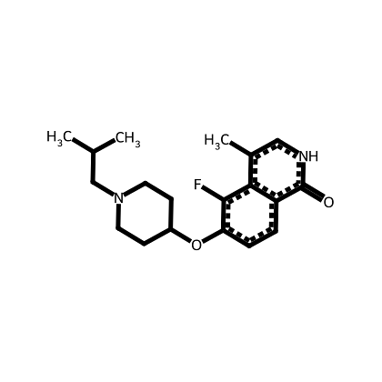 Cc1c[nH]c(=O)c2ccc(OC3CCN(CC(C)C)CC3)c(F)c12